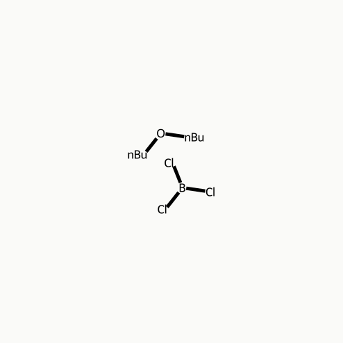 CCCCOCCCC.ClB(Cl)Cl